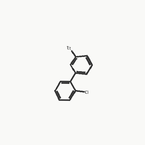 CCc1cccc(-c2ccccc2Cl)c1